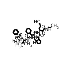 C#CCCC(NC(=O)[C@@H]1[C@H]2CCC[C@H]2CN1C(=O)[C@@H](NC(=O)N[C@H](CN(C)S(=O)(=O)c1ccccc1)C(C)(C)C)C1CCCCC1)C(=O)C(=O)NCC=C